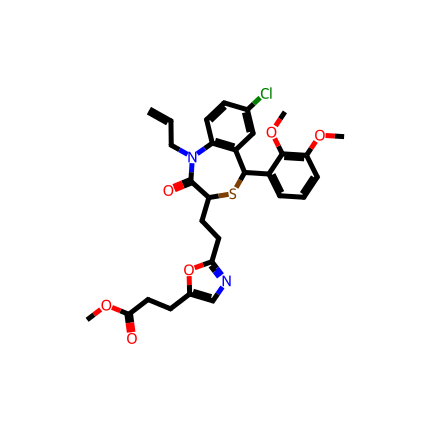 C=CCN1C(=O)C(CCc2ncc(CCC(=O)OC)o2)SC(c2cccc(OC)c2OC)c2cc(Cl)ccc21